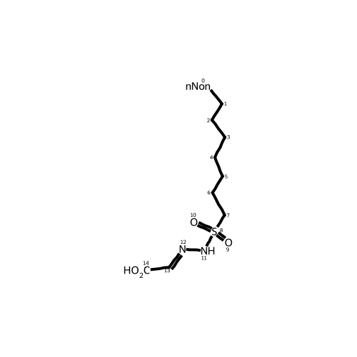 CCCCCCCCCCCCCCCCS(=O)(=O)NN=CC(=O)O